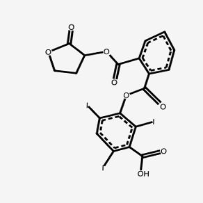 O=C(Oc1c(I)cc(I)c(C(=O)O)c1I)c1ccccc1C(=O)OC1CCOC1=O